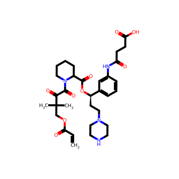 C=CC(=O)OCC(C)(C)C(=O)C(=O)N1CCCCC1C(=O)O[C@H](CCN1CCNCC1)c1cccc(NC(=O)CCC(=O)O)c1